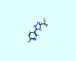 Cc1ccc(C2=NN=C(C(F)F)C2)cn1